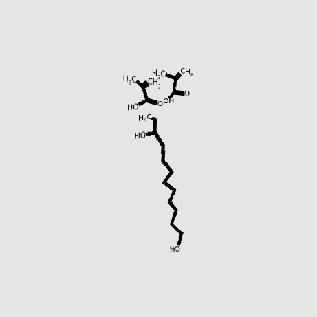 C=C(C)C(=O)O.C=C(C)C(=O)O.CCC(O)CCCCCCCCCO